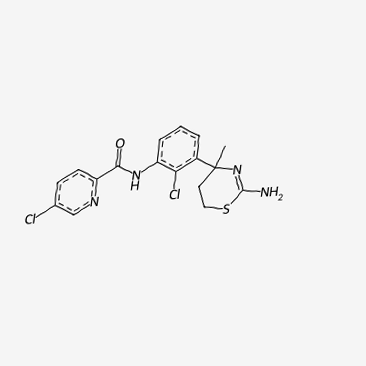 CC1(c2cccc(NC(=O)c3ccc(Cl)cn3)c2Cl)CCSC(N)=N1